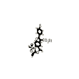 C#CCN(c1cc2oc(-c3ccc(F)cc3)c(C(=O)OCC)c2cc1C(C)O)S(C)(=O)=O